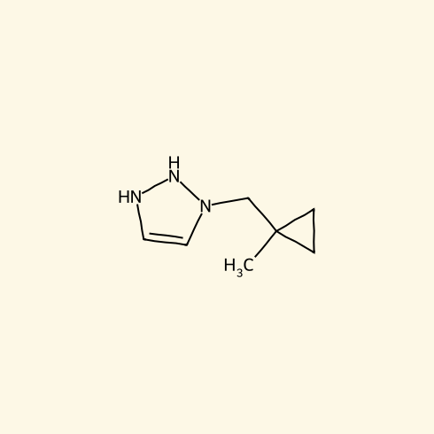 CC1(CN2C=CNN2)CC1